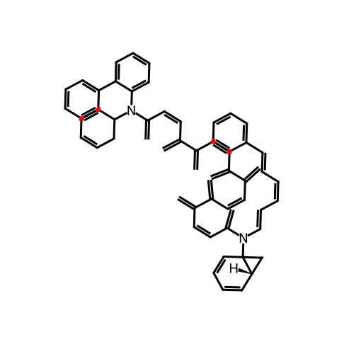 C=C(/C=C\C(=C)C(=C)/C=C\C(=C)N(c1ccccc1-c1ccccc1)C1C=CC=CC1)C(=C)/C=C\C(=C)C(=C)/C=C\C(=C)N(/C=C/C=C\C=C\c1ccccc1)C12C=CC=C[C@H]1C2